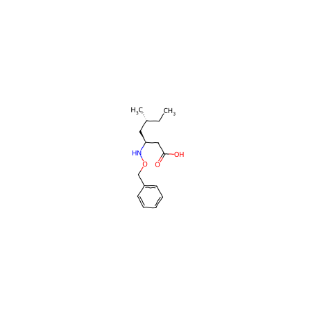 CC[C@@H](C)C[C@@H](CC(=O)O)NOCc1ccccc1